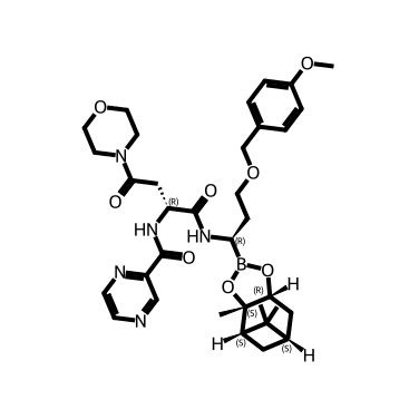 COc1ccc(COCC[C@H](NC(=O)[C@@H](CC(=O)N2CCOCC2)NC(=O)c2cnccn2)B2O[C@@H]3C[C@@H]4C[C@@H](C4(C)C)[C@]3(C)O2)cc1